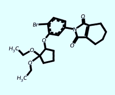 CCOC1(OCC)CCCC1Oc1cc(N2C(=O)C3=C(CCCC3)C2=O)ccc1Br